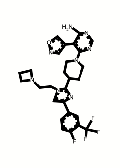 Nc1ncnc(N2CCC(c3nc(-c4ccc(F)c(C(F)(F)F)c4)cn3CCN3CCC3)CC2)c1-c1cnoc1